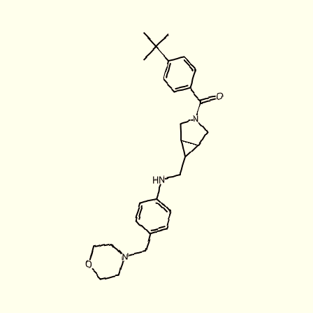 CC(C)(C)c1ccc(C(=O)N2CC3C(CNc4ccc(CN5CCOCC5)cc4)C3C2)cc1